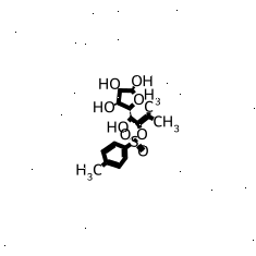 CC(C)=C(OS(=O)(=O)c1ccc(C)cc1)C(O)[C@H]1O[C@H](O)[C@H](O)[C@H]1O